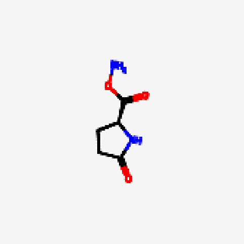 NOC(=O)[C@@H]1CCC(=O)N1